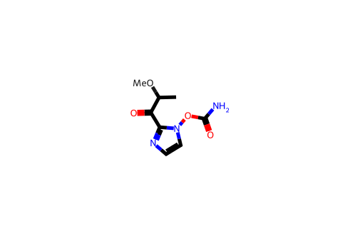 COC(C)C(=O)c1nccn1OC(N)=O